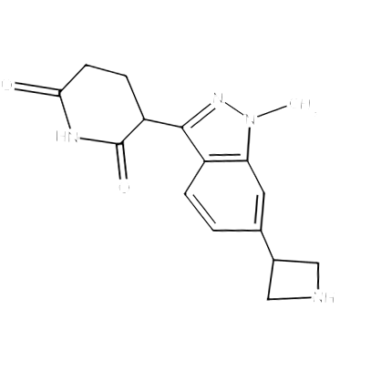 Cn1nc(C2CCC(=O)NC2=O)c2ccc(C3CNC3)cc21